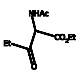 CCOC(=O)C(NC(C)=O)C(=O)CC